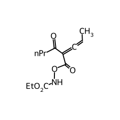 CC=C=C(C(=O)CCC)C(=O)ONC(=O)OCC